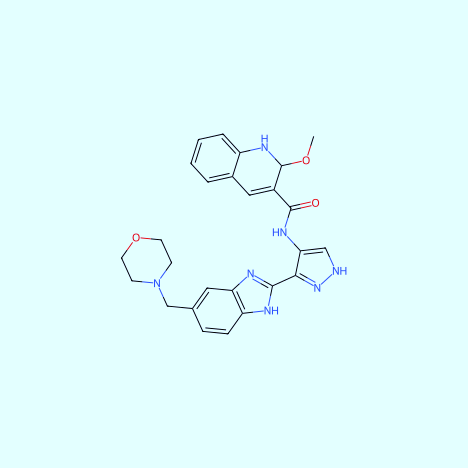 COC1Nc2ccccc2C=C1C(=O)Nc1c[nH]nc1-c1nc2cc(CN3CCOCC3)ccc2[nH]1